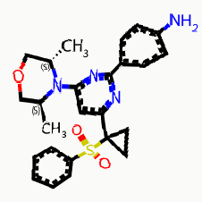 C[C@H]1COC[C@H](C)N1c1cc(C2(S(=O)(=O)c3ccccc3)CC2)nc(-c2ccc(N)cc2)n1